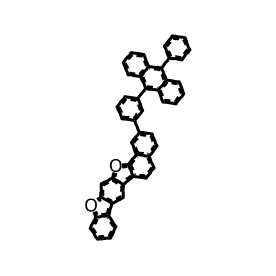 c1ccc(-c2c3ccccc3c(-c3cccc(-c4ccc5ccc6c7cc8c(cc7oc6c5c4)oc4ccccc48)c3)c3ccccc23)cc1